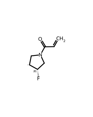 C=CC(=O)N1C[CH][C@@H](F)C1